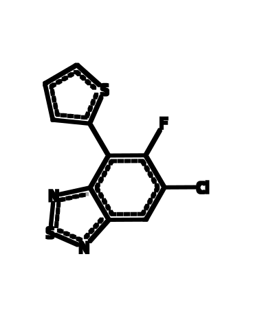 Fc1c(Cl)cc2nsnc2c1-c1cccs1